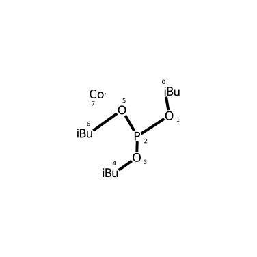 CCC(C)OP(OC(C)CC)OC(C)CC.[Co]